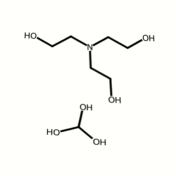 OC(O)O.OCCN(CCO)CCO